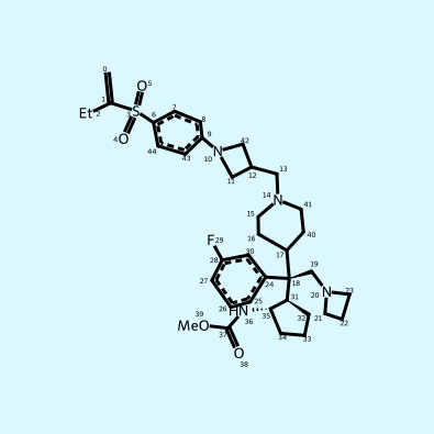 C=C(CC)S(=O)(=O)c1ccc(N2CC(CN3CCC([C@@](CN4CCC4)(c4cccc(F)c4)[C@H]4CCC[C@@H]4NC(=O)OC)CC3)C2)cc1